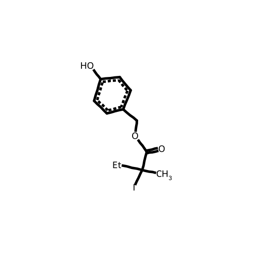 CCC(C)(I)C(=O)OCc1ccc(O)cc1